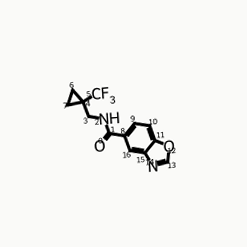 O=C(NCC1(C(F)(F)F)CC1)c1ccc2ocnc2c1